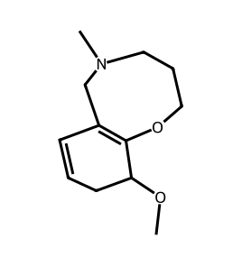 COC1CC=CC2=C1OCCCN(C)C2